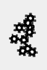 c1ccc(-c2cc(-c3cc4ccccc4c4ccccc34)nc(-c3ccc4oc5c6ccccc6nc(-c6ccccc6)c5c4c3)n2)cc1